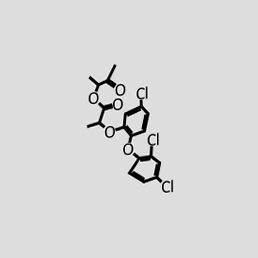 CC(=O)C(C)OC(=O)C(C)Oc1cc(Cl)ccc1Oc1ccc(Cl)cc1Cl